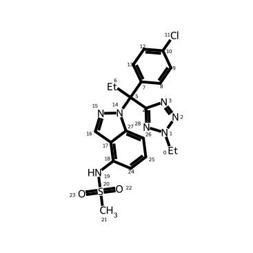 CCn1nnc(C(CC)(c2ccc(Cl)cc2)n2ncc3c(NS(C)(=O)=O)cccc32)n1